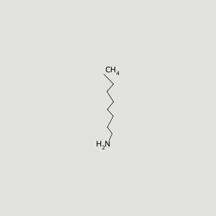 C.CCCCCCCCN